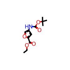 CCOC(=O)c1cc(NC(=O)OC(C)(C)C)co1